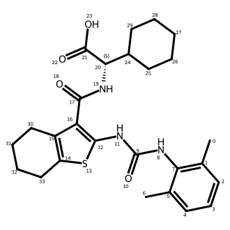 Cc1cccc(C)c1NC(=O)Nc1sc2c(c1C(=O)N[C@H](C(=O)O)C1CCCCC1)CCCC2